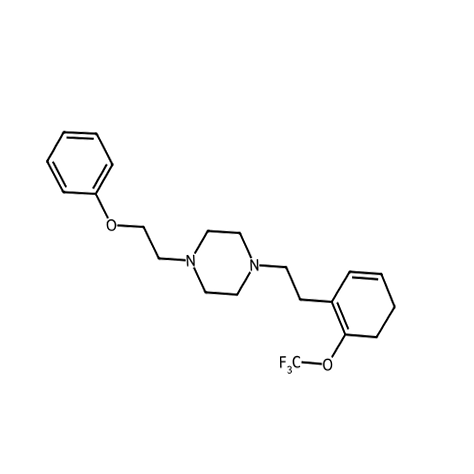 FC(F)(F)OC1=C(CCN2CCN(CCOc3ccccc3)CC2)C=CCC1